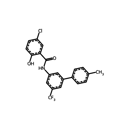 Cc1ccc(-c2cc(NC(=O)c3cc(Cl)ccc3O)cc(C(F)(F)F)c2)cc1